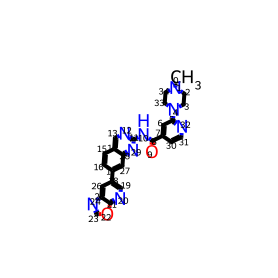 CN1CCN(c2cc(C(=O)Nc3ncc4ccc(-c5cnc6ocnc6c5)cc4n3)ccn2)CC1